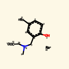 CCCCc1ccc(O)c(CN(C)CC(=O)[O-])c1.[Na+]